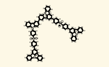 O=S(=O)(c1ccc(-c2cc3c4ccccc4n4c5ccccc5c(c2)c34)cc1)c1ccc(-c2cc3c4ccccc4n4c5ccc(-c6ccc7c(c6)c6ccccc6n7-c6ccc(S(=O)(=O)c7ccc(-c8cc9c%10ccccc%10n%10c%11ccccc%11c(c8)c9%10)cc7)cc6)cc5c(c2)c34)cc1